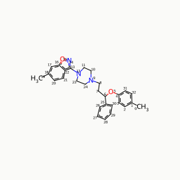 Cc1ccc(OC(CCN2CCN(c3noc4cc(C)ccc34)CC2)c2ccccc2)cc1